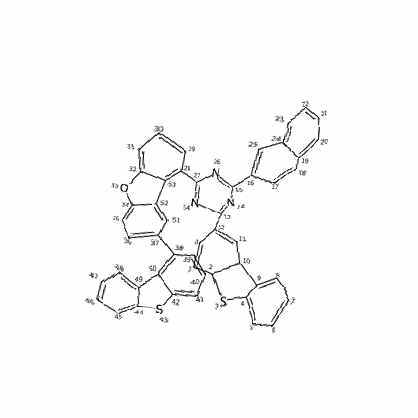 C1=CC2Sc3ccccc3C2C=C1c1nc(-c2ccc3ccccc3c2)nc(-c2cccc3oc4ccc(-c5cccc6sc7ccccc7c56)cc4c23)n1